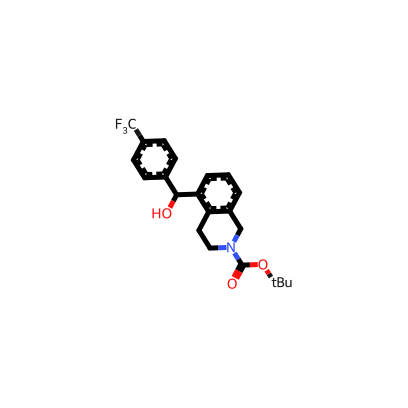 CC(C)(C)OC(=O)N1CCc2c(cccc2C(O)c2ccc(C(F)(F)F)cc2)C1